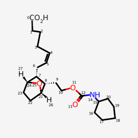 O=C(O)CCC/C=C\C[C@@H]1[C@H](CCOC(=O)NC2CCCCC2)[C@@H]2CC[C@H]1O2